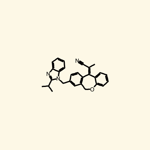 CC(C#N)=C1c2ccc(Cn3c(C(C)C)nc4ccccc43)cc2COc2ccccc21